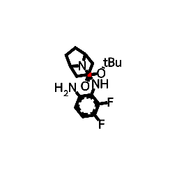 CC(C)(C)OC(=O)N1C2CCC1CC(Nc1c(N)ccc(F)c1F)C2